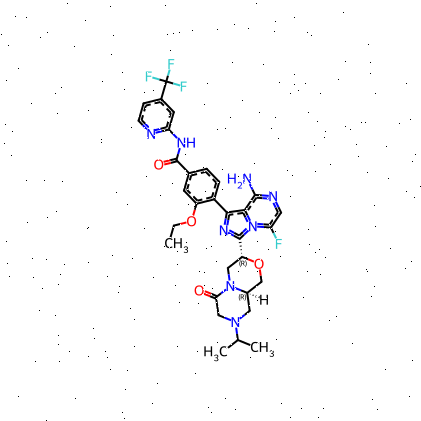 CCOc1cc(C(=O)Nc2cc(C(F)(F)F)ccn2)ccc1-c1nc([C@H]2CN3C(=O)CN(C(C)C)C[C@@H]3CO2)n2c(F)cnc(N)c12